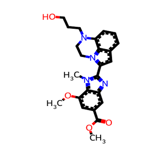 COC(=O)c1cc(OC)c2c(c1)nc(-c1cc3cccc4c3n1CCN4CCCO)n2C